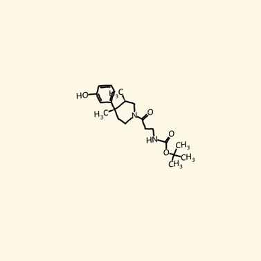 C[C@H]1CN(C(=O)CCNC(=O)OC(C)(C)C)CC[C@]1(C)c1cccc(O)c1